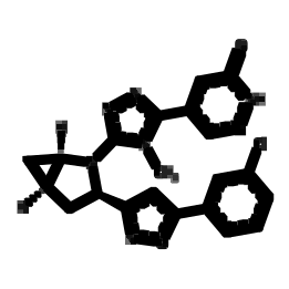 Cn1c(-c2cn[nH]c(=O)c2)nnc1N1[C@@H](c2cc(-c3cccc(Cl)c3)on2)C[C@H]2C[C@H]21